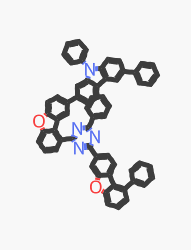 c1ccc(-c2ccc3c(c2)c2ccc(-c4ccc5oc6cccc(-c7nc(-c8ccccc8)nc(-c8ccc9c(c8)oc8cccc(-c%10ccccc%10)c89)n7)c6c5c4)cc2n3-c2ccccc2)cc1